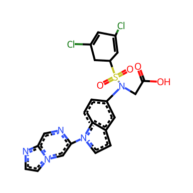 O=C(O)CN(c1ccc2c(ccn2-c2cn3ccnc3cn2)c1)S(=O)(=O)C1C=C(Cl)C=C(Cl)C1